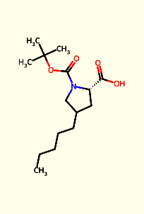 CCCCCC1C[C@@H](C(=O)O)N(C(=O)OC(C)(C)C)C1